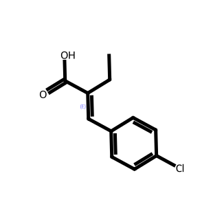 CC/C(=C\c1ccc(Cl)cc1)C(=O)O